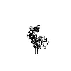 Cc1ccc(NC(=O)Nc2sc(C(C)(C)C)cc2C(=O)N2CCNC(=O)C2(C)C)cc1-c1ccc(F)nc1